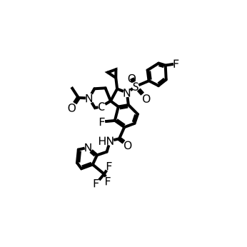 CC(=O)N1CCC2(CC1)c1c(ccc(C(=O)NCc3ncccc3C(F)(F)F)c1F)N(S(=O)(=O)c1ccc(F)cc1)C2C1CC1